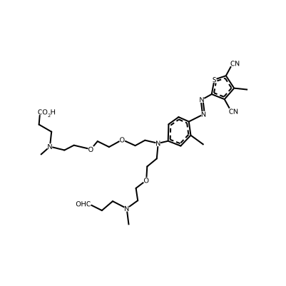 Cc1cc(N(CCOCCOCCN(C)CCC(=O)O)CCOCCN(C)CCC=O)ccc1/N=N/c1sc(C#N)c(C)c1C#N